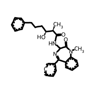 C[C@@H](C(=O)NC1N=C(c2ccccc2)c2ccccc2N(C)C1=O)[C@@H](O)CCCc1ccccc1